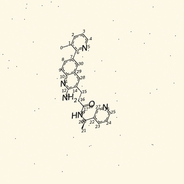 Cc1cccnc1-c1ccc2nc(N)c(CCC(=O)N[C@H](C)c3cccnc3)cc2c1